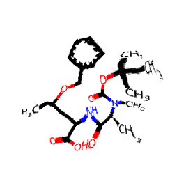 CC(OCc1ccccc1)C(NC(=O)[C@H](C)N(C)C(=O)OC(C)(C)C)C(=O)O